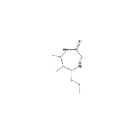 CCSC1N=CC(=O)NC(C)C1C